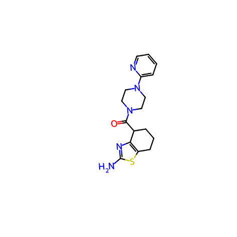 Nc1nc2c(s1)CCCC2C(=O)N1CCN(c2ccccn2)CC1